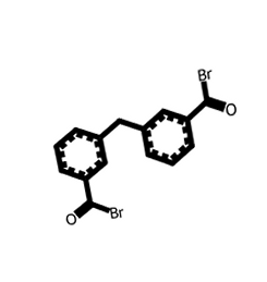 O=C(Br)c1cccc(Cc2cccc(C(=O)Br)c2)c1